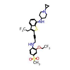 CS(=O)(=O)c1ccc(NCC#Cc2sc3c(NC4CCN(C5CC5)CC4)cccc3c2CC(F)(F)F)c(OCC(F)(F)F)c1